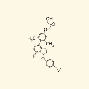 Cc1cc(OCC2(CO)CC2)cc(C)c1-c1ccc(F)c2c1CCC2Oc1ccc(C2CC2)cc1